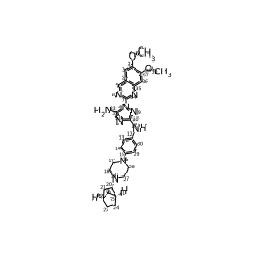 COc1cc2cnc(-n3nc(Nc4ccc(N5CCN([C@H]6C[C@@H]7CC[C@H]6C7)CC5)cc4)nc3N)nc2cc1OC